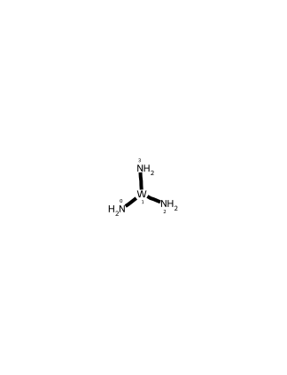 [NH2][W]([NH2])[NH2]